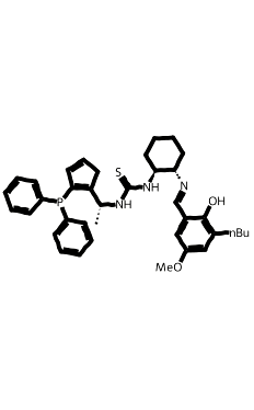 CCCCc1cc(OC)cc(/C=N/[C@H]2CCCC[C@@H]2NC(=S)N[C@H](C)C2=C(P(c3ccccc3)c3ccccc3)C=CC2)c1O